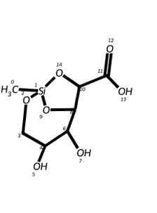 C[Si]12OCC(O)C(O)C(O1)C(C(=O)O)O2